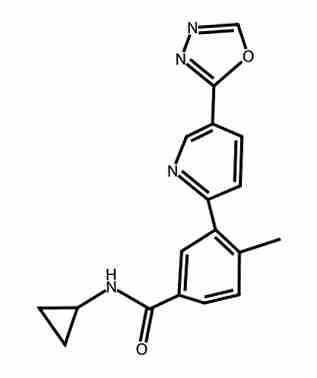 Cc1ccc(C(=O)NC2CC2)cc1-c1ccc(-c2nnco2)cn1